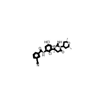 C[C@@H]1CC(N2C(=N)N[C@](C)(c3cccc(NC(=O)c4cccc(C#N)c4)c3Cl)CC2=O)C[C@H](C)O1.Cl